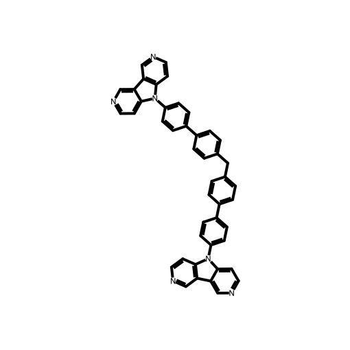 c1cc2c(cn1)c1cnccc1n2-c1ccc(-c2ccc(Cc3ccc(-c4ccc(-n5c6ccncc6c6cnccc65)cc4)cc3)cc2)cc1